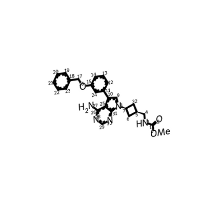 COC(=O)NC[C@H]1C[C@@H](n2cc(-c3cccc(OCc4ccccc4)c3)c3c(N)ncnc32)C1